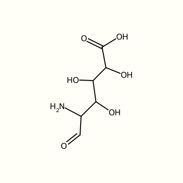 NC(C=O)C(O)C(O)C(O)C(=O)O